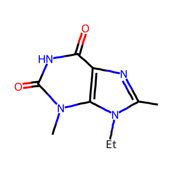 CCn1c(C)nc2c(=O)[nH]c(=O)n(C)c21